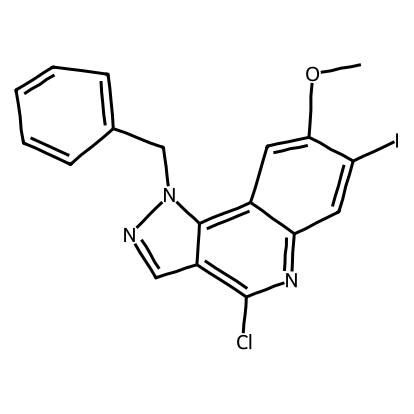 COc1cc2c(cc1I)nc(Cl)c1cnn(Cc3ccccc3)c12